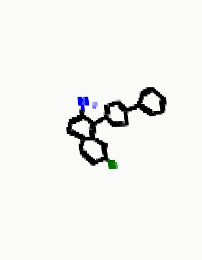 Nc1ccc2ccc(Br)cc2c1-c1ccc(-c2ccccc2)cc1